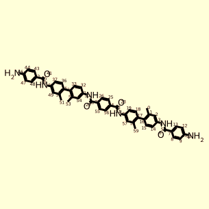 Cc1cc(NC(=O)c2ccc(N)cc2)ccc1-c1ccc(NC(=O)c2ccc(C(=O)Nc3ccc(-c4ccc(NC(=O)c5ccc(N)cc5)cc4C)c(C)c3)cc2)cc1C